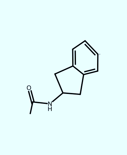 CC(=O)NC1Cc2c[c]ccc2C1